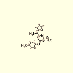 CCOc1nc(Oc2ccc(C)cc2)nc(C(N)c2ccco2)n1